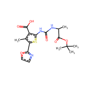 Cc1c(-c2ncco2)sc(NC(=O)NC(C)C(=O)OC(C)(C)C)c1C(=O)O